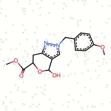 COC(=O)C1Cc2nn(Cc3ccc(OC)cc3)cc2C(O)O1